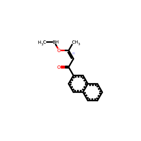 CBO/C(C)=C\C(=O)c1ccc2ccccc2c1